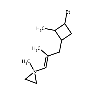 CCC1CC(C/C(C)=C/S2(C)CC2)C1C